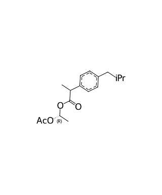 CC(=O)O[C@@H](C)OC(=O)C(C)c1ccc(CC(C)C)cc1